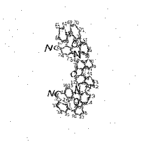 N#Cc1ccc(N(c2cc3oc4cc(N(c5ccc(C#N)cc5)c5cccc6c5oc5c(-c7ccccc7)cccc56)c5ccccc5c4c3c3ccccc23)c2cccc3c2oc2c(-c4ccccc4)cccc23)cc1